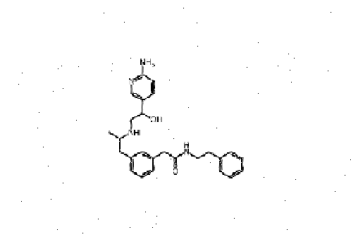 C[C@H](Cc1cccc(CC(=O)NCCc2ccccc2)c1)NC[C@H](O)c1ccc(N)nc1